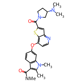 CNC(=O)c1c(C)n(C)c2cc(Oc3ccnc4cc(C(=O)N5CC[C@@H](N(C)C)C5)sc34)ccc12